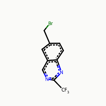 FC(F)(F)c1ncc2cc(CBr)ccc2n1